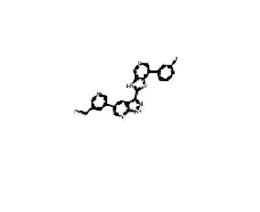 CC(C)Cc1cncc(-c2cnc3[nH]nc(-c4nc5c(-c6cccc(F)c6)cncc5[nH]4)c3c2)c1